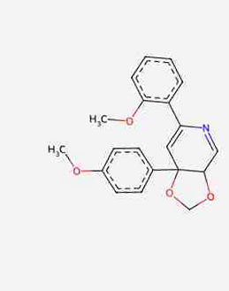 COc1ccc(C23C=C(c4ccccc4OC)N=CC2OCO3)cc1